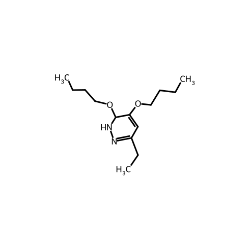 CCCCOC1=CC(CC)=NNC1OCCCC